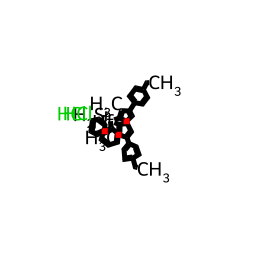 CCc1ccc(C2=CC[C]([Hf](=[SiH2])([C]3=C(C)C(c4ccc(CC)cc4)=CC3)([c]3ccccc3)[c]3ccccc3)=C2C)cc1.Cl.Cl